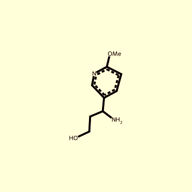 COc1ccc(C(N)CCO)cn1